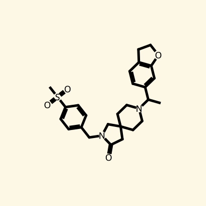 CC(c1ccc2c(c1)OCC2)N1CCC2(CC1)CC(=O)N(Cc1ccc(S(C)(=O)=O)cc1)C2